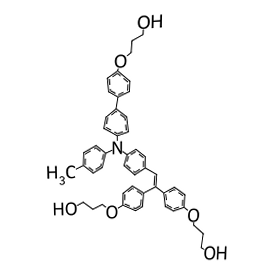 Cc1ccc(N(c2ccc(C=C(c3ccc(OCCCO)cc3)c3ccc(OCCCO)cc3)cc2)c2ccc(-c3ccc(OCCCO)cc3)cc2)cc1